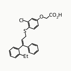 CCc1ccccc1C(=CCSc1ccc(OCC(=O)O)cc1Cl)c1ccccc1